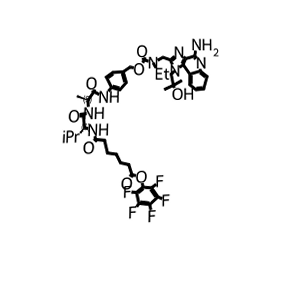 CCN(Cc1nc2c(N)nc3ccccc3c2n1CC(C)(C)O)C(=O)OCc1ccc(NC(=O)[C@H](C)NC(=O)[C@@H](NC(=O)CCCCCC(=O)Oc2c(F)c(F)c(F)c(F)c2F)C(C)C)cc1